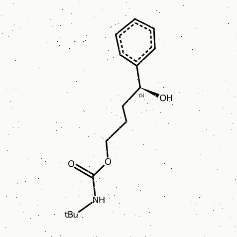 CC(C)(C)NC(=O)OCCC[C@H](O)c1ccccc1